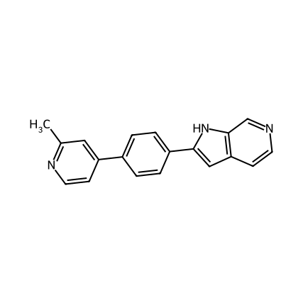 Cc1cc(-c2ccc(-c3cc4ccncc4[nH]3)cc2)ccn1